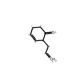 C=CCC1C=CCCC1=O